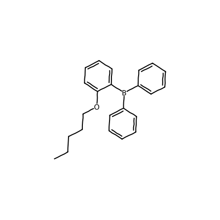 CCCCCOc1ccccc1B(c1ccccc1)c1ccccc1